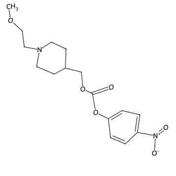 COCCN1CCC(COC(=O)Oc2ccc([N+](=O)[O-])cc2)CC1